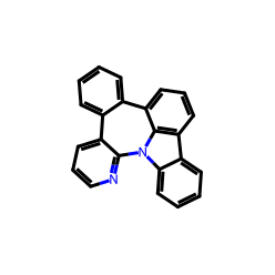 c1ccc2c(c1)-c1cccnc1-n1c3ccccc3c3cccc-2c31